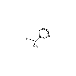 CCC(C)c1cc[c]nn1